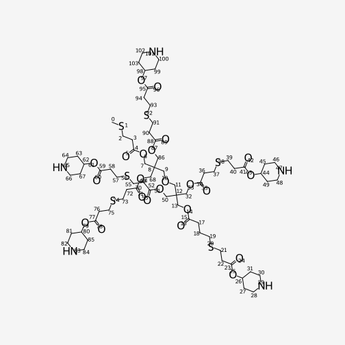 CSCCC(=O)OCC(COCC(COC(=O)CCCSCCC(=O)OC1CCNCC1)(COC(=O)CCSCCC(=O)OC1CCNCC1)COC(=O)CCSCCC(=O)OC1CCNCC1)(COC(=O)CCSCCC(=O)OC1CCNCC1)COC(=O)CCSCCC(=O)OC1CCNCC1